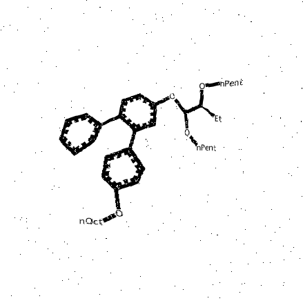 CCCCCCCCOc1ccc(-c2cc(OC(OCCCCC)[C@H](CC)OCCCCC)ccc2-c2ccccc2)cc1